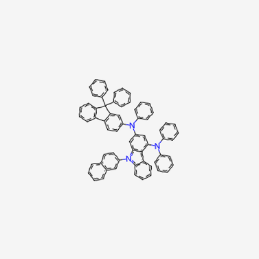 c1ccc(N(c2ccc3c(c2)C(c2ccccc2)(c2ccccc2)c2ccccc2-3)c2cc(N(c3ccccc3)c3ccccc3)c3c4ccccc4n(-c4ccc5ccccc5c4)c3c2)cc1